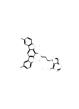 Nc1ncnc2cnn(CCCOc3c4[nH]c5ccc(Cl)cc5c4cc4c3[nH]c3ccc(Cl)cc34)c12